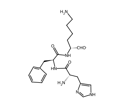 NCCCC[C@H]([C]=O)NC(=O)[C@H](Cc1ccccc1)NC(=O)[C@@H](N)Cc1c[nH]cn1